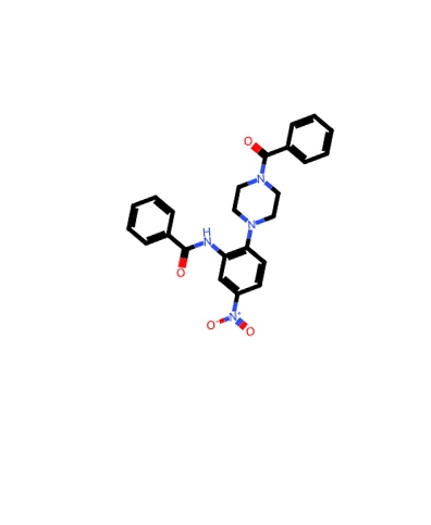 O=C(Nc1cc([N+](=O)[O-])ccc1N1CCN(C(=O)c2ccccc2)CC1)c1ccccc1